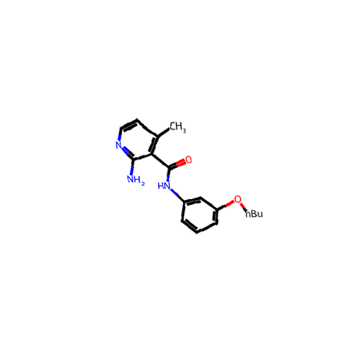 CCCCOc1cccc(NC(=O)c2c(C)ccnc2N)c1